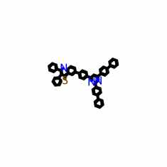 c1ccc(-c2ccc(-c3cc(-c4ccc(-c5ccc6nc(-c7ccccc7)c7c8ccccc8sc7c6c5)cc4)nc(-c4ccc(-c5ccccc5)cc4)n3)cc2)cc1